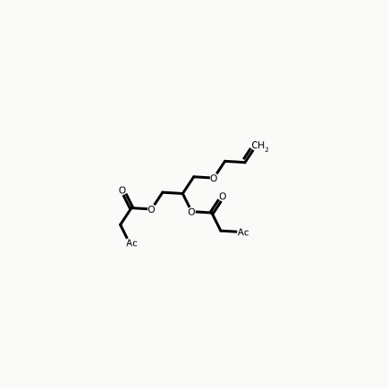 C=CCOCC(COC(=O)CC(C)=O)OC(=O)CC(C)=O